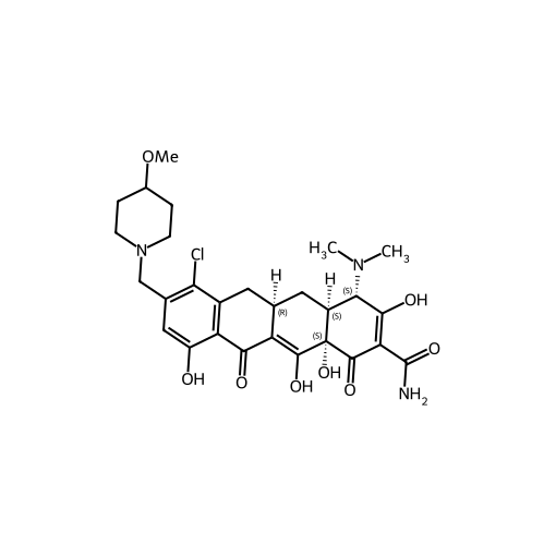 COC1CCN(Cc2cc(O)c3c(c2Cl)C[C@H]2C[C@H]4[C@H](N(C)C)C(O)=C(C(N)=O)C(=O)[C@@]4(O)C(O)=C2C3=O)CC1